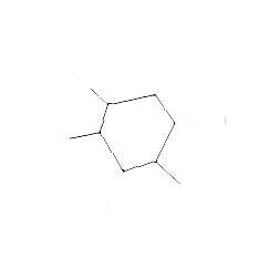 OC1C(O)[C@H](O)[C@H](O)C(O)[C@@H]1O